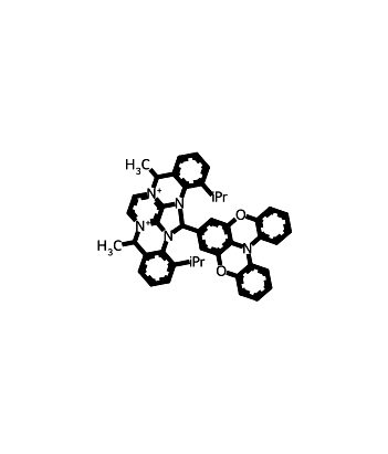 CC(C)c1cccc2c1N1c3c4[n+](cc[n+]3C2C)C(C)c2cccc(C(C)C)c2N4C1c1cc2c3c(c1)Oc1ccccc1N3c1ccccc1O2